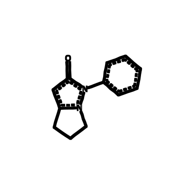 O=c1cc2n(n1-c1ccccc1)CCC2